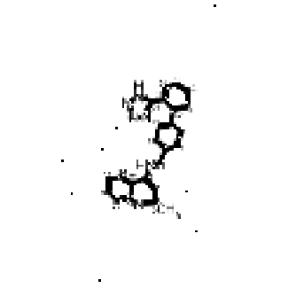 Cc1cc(NCc2ccc(-c3ccccc3-c3nnn[nH]3)cc2)c2ccccc2n1